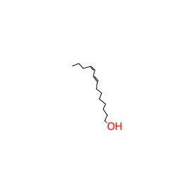 CCC/C=C\C=CCCCCCCCO